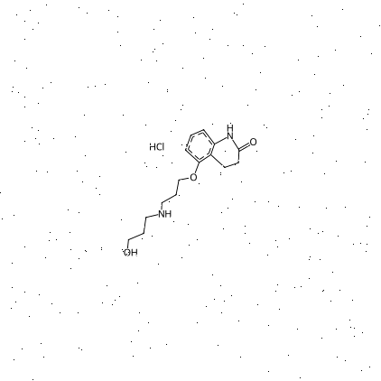 Cl.O=C1CCc2c(cccc2OCCCNCCCO)N1